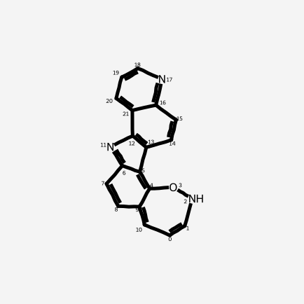 C1=CNOc2c3c(ccc2=C1)=Nc1c-3ccc2ncccc12